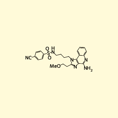 COCCc1nc2c(N)nc3ccccc3c2n1CCCCNS(=O)(=O)c1ccc(C#N)cc1